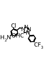 Nc1ccc(CN2N=NN(c3ccc(C(F)(F)F)cc3)C2C=O)c(Cl)c1